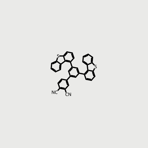 N#Cc1ccc(-c2cc(-c3cccc4sc5ccccc5c34)cc(-c3cccc4sc5ccccc5c34)c2)cc1C#N